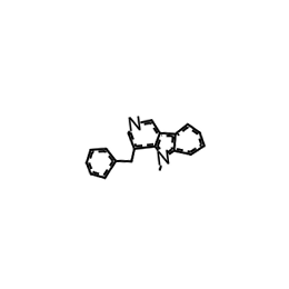 Cn1c2ccccc2c2cncc(Cc3ccccc3)c21